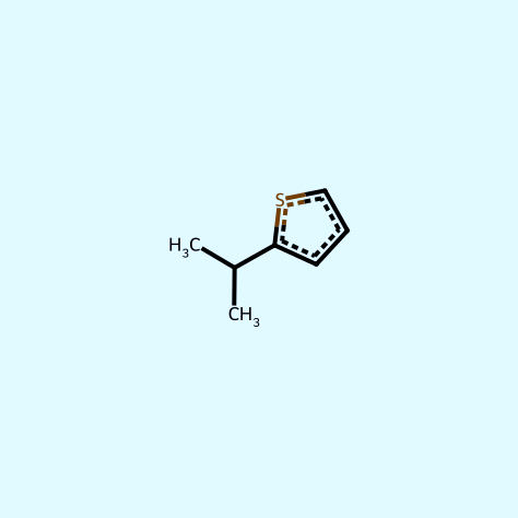 CC(C)c1cccs1